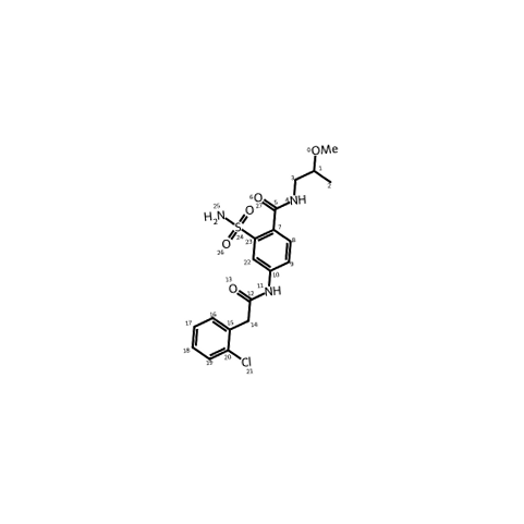 COC(C)CNC(=O)c1ccc(NC(=O)Cc2ccccc2Cl)cc1S(N)(=O)=O